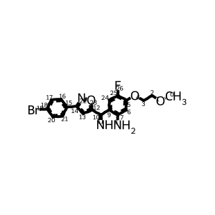 COCCOc1cc(N)c(C(=N)c2cc(-c3ccc(Br)cc3)no2)cc1F